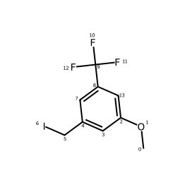 COc1cc(CI)cc(C(F)(F)F)c1